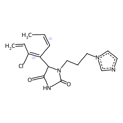 C=C/C(Cl)=C(\C=C/C)C1C(=O)NC(=O)N1CCCn1ccnc1